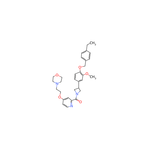 CCc1ccc(COc2ccc(C3CN(C(=O)c4cc(OCCN5CCOCC5)ccn4)C3)cc2OC)cc1